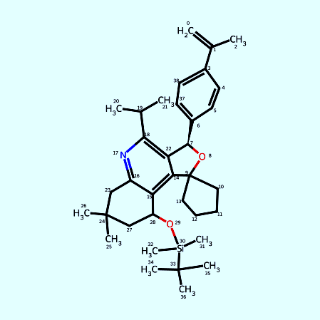 C=C(C)c1ccc([C@H]2OC3(CCCC3)c3c4c(nc(C(C)C)c32)CC(C)(C)CC4O[Si](C)(C)C(C)(C)C)cc1